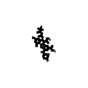 NC(=O)c1cc(NC2=NCC(F)CN2)c2cnn(C(C(N)=O)[C@@H](CC(=O)OC(=O)C(F)(F)F)c3cc(Br)cc(Br)c3)c2c1